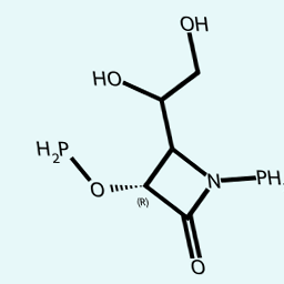 O=C1[C@H](OP)C(C(O)CO)N1P